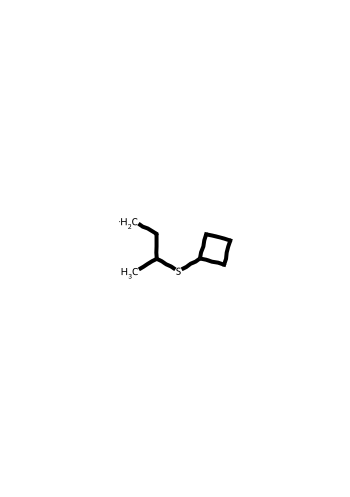 [CH2]CC(C)SC1CCC1